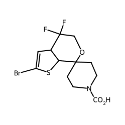 O=C(O)N1CCC2(CC1)OCC(F)(F)C1C=C(Br)SC12